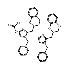 CC(=O)O.c1ccc(Cn2ccnc2CC2COc3ccccc3O2)cc1.c1ccc(Cn2ccnc2CC2COc3ccccc3O2)cc1